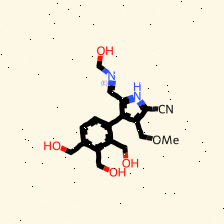 COCc1c(C#N)[nH]c(/C=N/CO)c1-c1ccc(CO)c(CO)c1CO